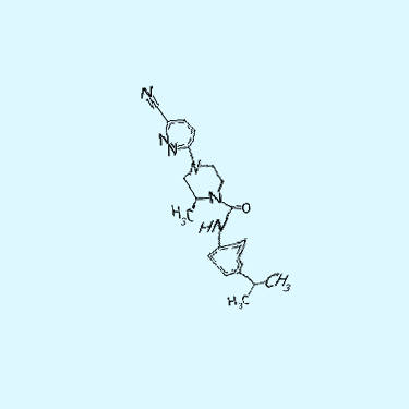 CC(C)c1ccc(NC(=O)N2CCN(c3ccc(C#N)nn3)C[C@@H]2C)cc1